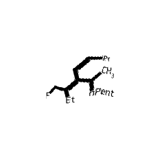 CCCCCC(C)C(/C=C\C(C)C)=C(\CC)CF